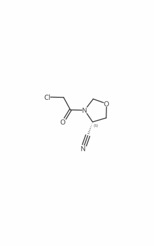 N#C[C@H]1COCN1C(=O)CCl